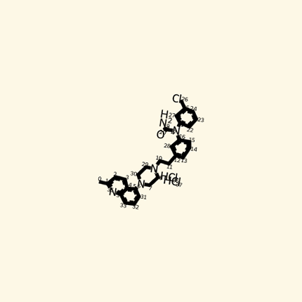 Cc1ccc2c(N3CCN(CCc4cccc(N(C(N)=O)c5cccc(Cl)c5)c4)CC3)cccc2n1.Cl.Cl